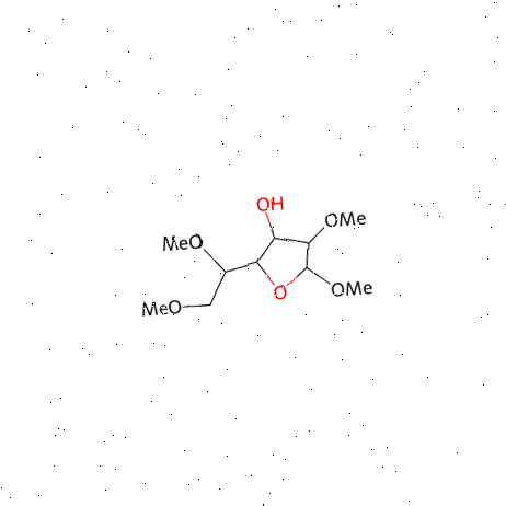 COCC(OC)C1OC(OC)C(OC)C1O